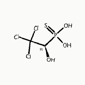 O[C@@H](C(Cl)(Cl)Cl)P(O)(O)=S